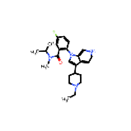 CCN1CCC(c2cn(-c3ccc(F)cc3C(=O)N(C)C(C)C)c3c2=CCNC=3)CC1